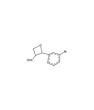 O=CC1COC1c1cccc(Br)c1